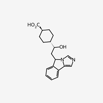 O=C(O)[C@H]1CC[C@H](C(O)CC2c3ccccc3-c3cncn32)CC1